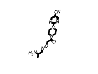 CC(N)/C=N/OCC(=O)N1CCN(c2ncc(C#N)cn2)CC1